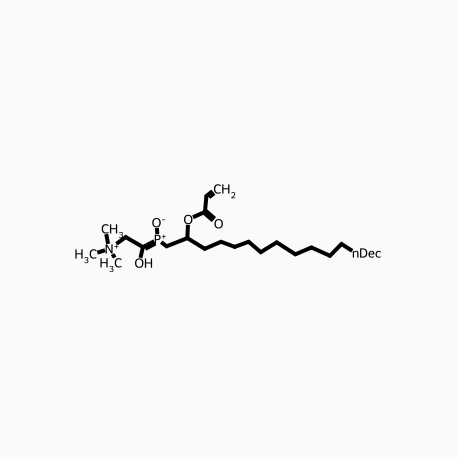 C=CC(=O)OC(CCCCCCCCCCCCCCCCCCCC)C/[P+]([O-])=C(\O)C[N+](C)(C)C